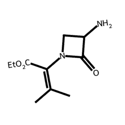 CCOC(=O)C(=C(C)C)N1CC(N)C1=O